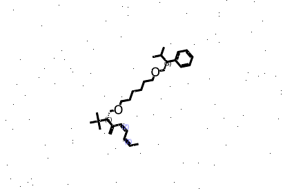 C=C(/C=C\C=C/C)[C@@H](COCCCCCCOC[C@H](c1ccccc1)C(C)C)C(C)(C)C